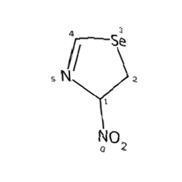 O=[N+]([O-])C1C[Se]C=N1